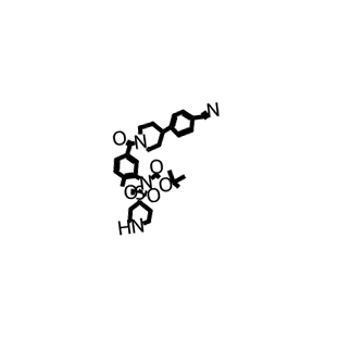 Cc1ccc(C(=O)N2CCC(c3ccc(C#N)cc3)CC2)cc1N(C(=O)OC(C)(C)C)S(=O)(=O)C1CCNCC1